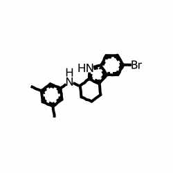 Cc1cc(C)cc(NC2CCCc3c2[nH]c2ccc(Br)cc32)c1